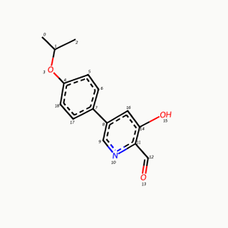 CC(C)Oc1ccc(-c2cnc(C=O)c(O)c2)cc1